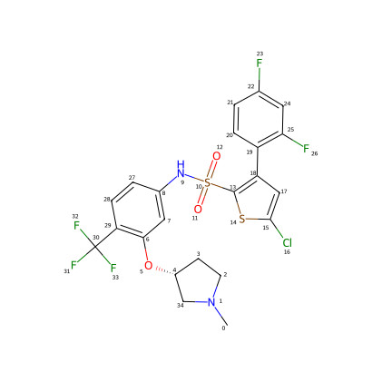 CN1CC[C@@H](Oc2cc(NS(=O)(=O)c3sc(Cl)cc3-c3ccc(F)cc3F)ccc2C(F)(F)F)C1